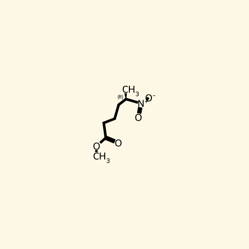 COC(=O)CCC[C@@H](C)[N+](=O)[O-]